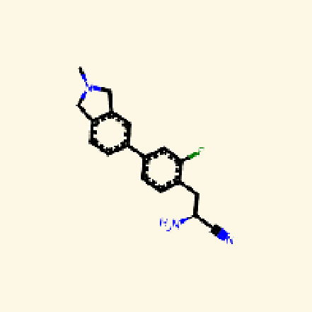 CN1Cc2ccc(-c3ccc(C[C@H](N)C#N)c(F)c3)cc2C1